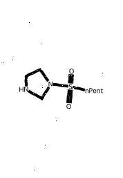 CCCCCS(=O)(=O)N1CCNC1